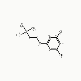 Cc1cc(OCCS(C)(C)C)nc(Cl)n1